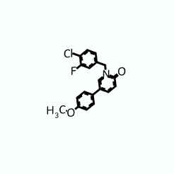 COc1ccc(-c2ccc(=O)n(Cc3ccc(Cl)c(F)c3)c2)cc1